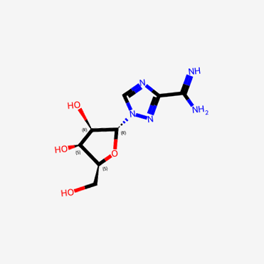 N=C(N)c1ncn([C@@H]2O[C@@H](CO)[C@@H](O)[C@H]2O)n1